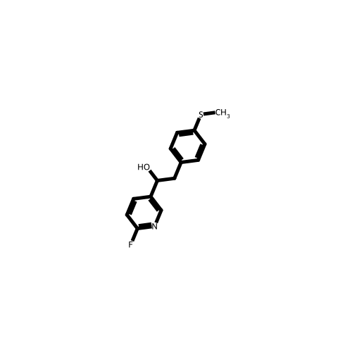 CSc1ccc(CC(O)c2ccc(F)nc2)cc1